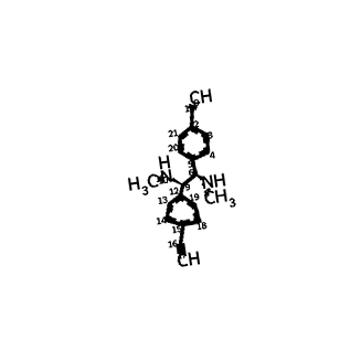 C#Cc1ccc([C@@H](NC)[C@H](NC)c2ccc(C#C)cc2)cc1